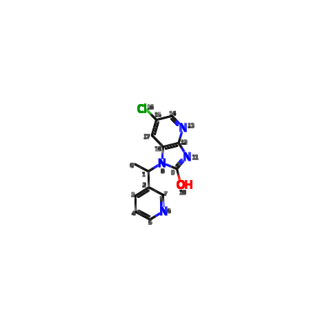 CC(c1cccnc1)n1c(O)nc2ncc(Cl)cc21